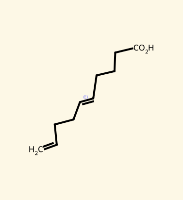 C=CCC/C=C/CCCC(=O)O